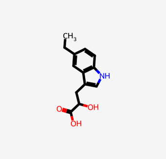 CCc1ccc2[nH]cc(CC(O)C(=O)O)c2c1